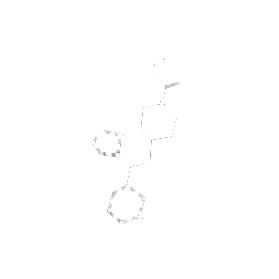 CC(C)(C)OC(=O)N1CCC(OC(c2cccnc2)c2ccon2)CC1